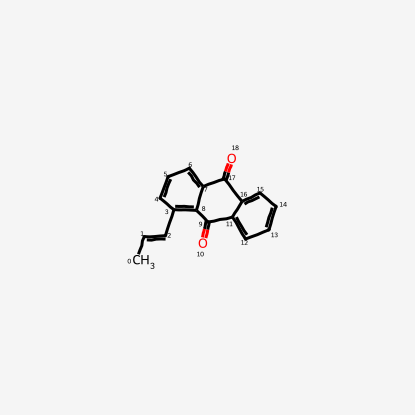 CC=Cc1cccc2c1C(=O)c1ccccc1C2=O